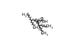 CCCCCC(CCCCC)CCOC(CCC(=O)O)OCCC(CCCCC)CCCCC